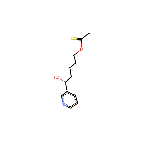 CC(=S)OCCCC[C@@H](O)c1cccnc1